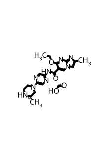 CCOc1nc2nc(C)cn2cc1C(=O)Nc1cnc(N2CCN[C@@H](C)C2)cn1.O=CO